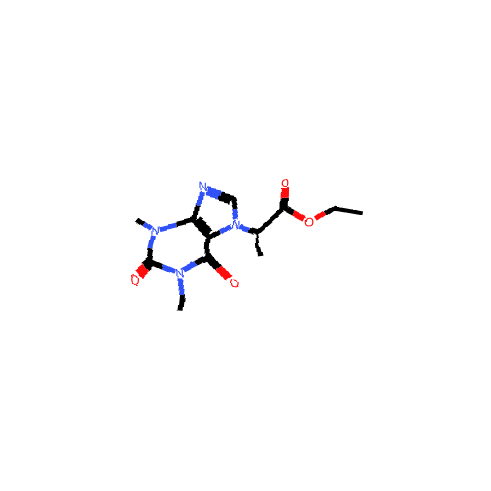 CCOC(=O)[C@@H](C)n1cnc2c1c(=O)n(C)c(=O)n2C